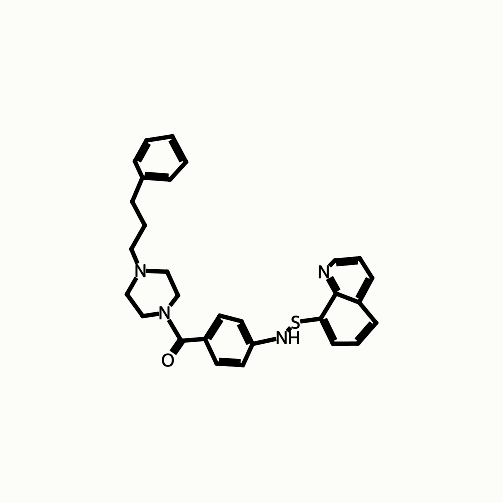 O=C(c1ccc(NSc2cccc3cccnc23)cc1)N1CCN(CCCc2ccccc2)CC1